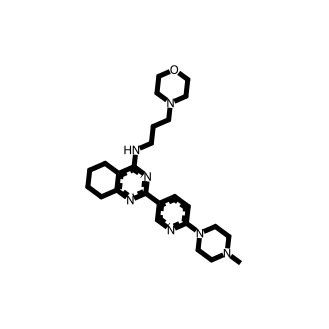 CN1CCN(c2ccc(-c3nc4c(c(NCCCN5CCOCC5)n3)CCCC4)cn2)CC1